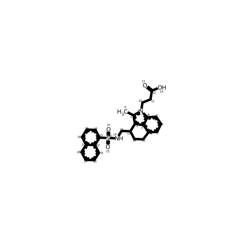 Cc1c2c3c(cccc3n1CCC(=O)O)CCC2CNS(=O)(=O)c1cccc2ccccc12